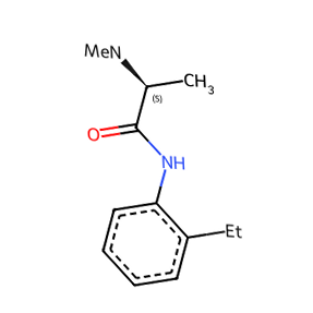 CCc1ccccc1NC(=O)[C@H](C)NC